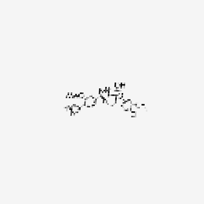 COc1cc(-c2nnc3n2CCCC3(Oc2ccc(Cl)c(C(F)(F)F)c2)C(C)(C)O)ccc1-c1cnn(C)c1